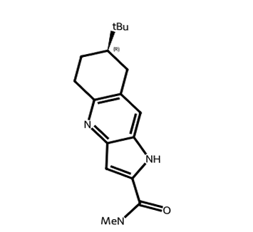 CNC(=O)c1cc2nc3c(cc2[nH]1)C[C@H](C(C)(C)C)CC3